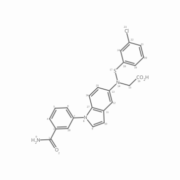 NC(=O)c1cccc(-n2ccc3cc(N(CC(=O)O)Sc4cccc(Cl)c4)ccc32)c1